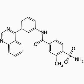 Cc1cc(C(=O)Nc2cccc(-c3ncnc4ccccc34)c2)ccc1S(N)(=O)=O